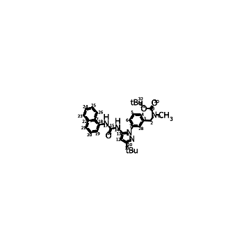 CN(Cc1cccc(-n2nc(C(C)(C)C)cc2NC(=O)Nc2cccc3ccccc23)c1)C(=O)OC(C)(C)C